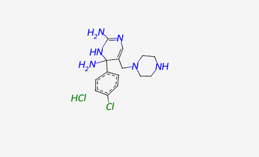 Cl.NC1=NC=C(CN2CCNCC2)C(N)(c2ccc(Cl)cc2)N1